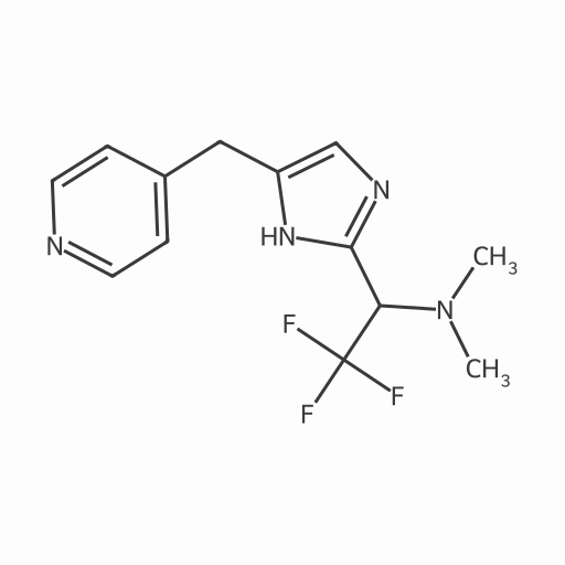 CN(C)C(c1ncc(Cc2ccncc2)[nH]1)C(F)(F)F